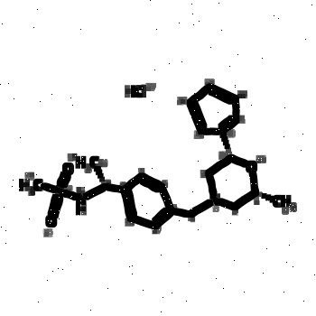 C[C@@H]1CN(Cc2ccc([C@@H](C)NS(C)(=O)=O)cc2)C[C@H](c2ccccc2)O1.Cl